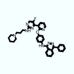 Fc1cnc(NCCCN2CCCCC2)nc1-c1cccnc1Oc1ccc(Nc2nnc(-c3ccccc3)c3ccccc23)cc1